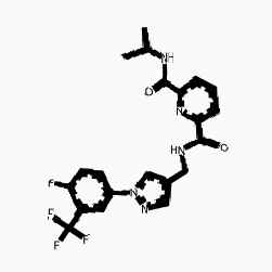 CC(C)NC(=O)c1cccc(C(=O)NCc2cnn(-c3ccc(F)c(C(F)(F)F)c3)c2)n1